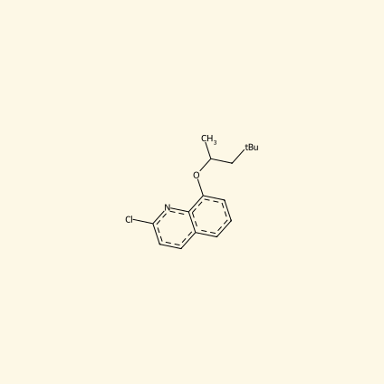 CC(CC(C)(C)C)Oc1cccc2ccc(Cl)nc12